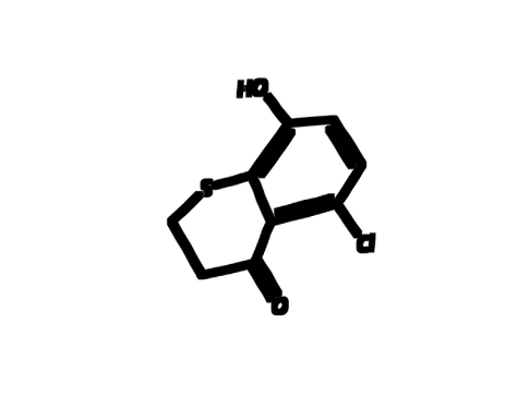 O=C1CCSc2c(O)ccc(Cl)c21